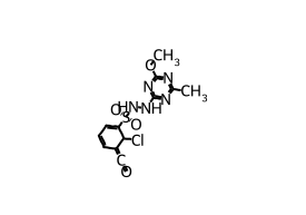 COc1nc(C)nc(NNS(=O)(=O)C2=CC=CC(=C=O)C2Cl)n1